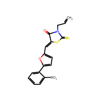 C=CCN1C(=O)C(=Cc2ccc(-c3ccccc3[N+](=O)[O-])o2)SC1=S